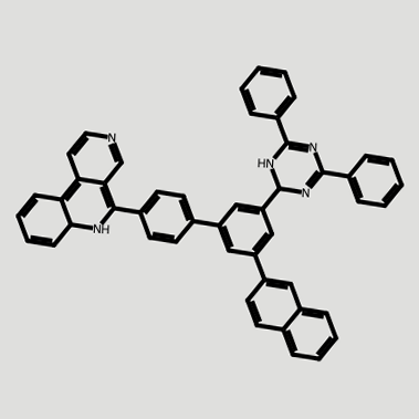 C1=CC2=c3ccncc3=C(c3ccc(-c4cc(-c5ccc6ccccc6c5)cc(C5N=C(c6ccccc6)N=C(c6ccccc6)N5)c4)cc3)NC2C=C1